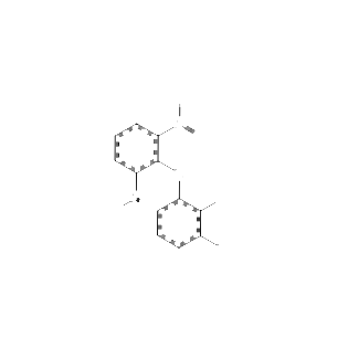 O=[N+]([O-])c1cccc([N+](=O)[O-])c1Nc1cccc(Br)c1O